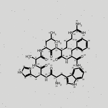 CC(C)C[C@H](NC(=O)[C@H](C)NC(=O)[C@H](Cc1c[nH]cn1)NC(=O)[C@@H](N)Cc1c[nH]c2ccccc12)C(=O)N[C@@H](CCCNC(=N)N)C(=O)N[C@@H](Cc1ccccc1)C(N)=O